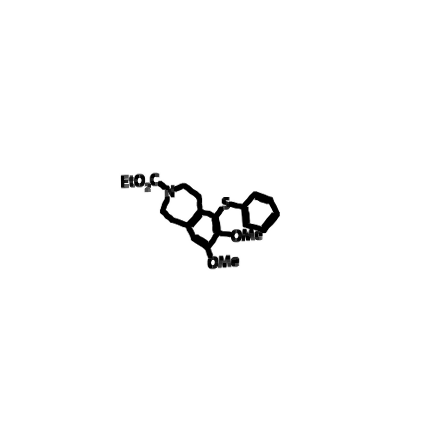 CCOC(=O)N1CCc2cc(OC)c(OC)c(Sc3ccccc3)c2CC1